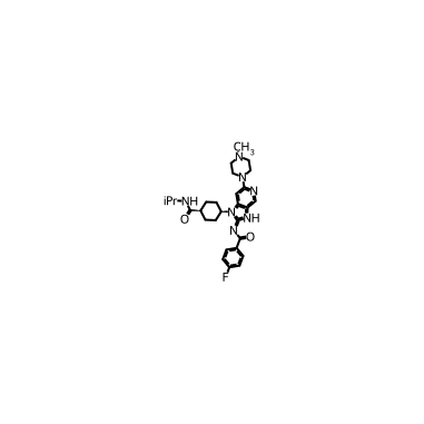 CC(C)NC(=O)[C@H]1CC[C@@H](n2/c(=N/C(=O)c3ccc(F)cc3)[nH]c3cnc(N4CCN(C)CC4)cc32)CC1